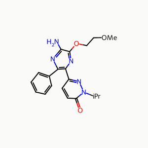 COCCOc1nc(-c2ccc(=O)n(C(C)C)n2)c(-c2ccccc2)nc1N